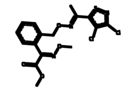 CO/N=C(/C(=O)OC)c1ccccc1CO/N=C(\C)c1snc(Cl)c1Cl